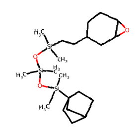 C[Si](C)(CCC1CCC2OC2C1)O[Si](C)(C)O[Si](C)(C)C12CCC(CC1)C2